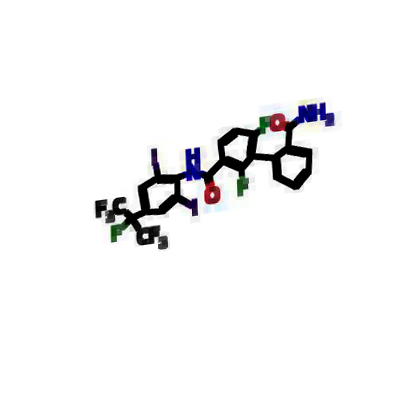 NC(=O)c1ccccc1-c1c(F)ccc(C(=O)Nc2c(I)cc(C(F)(C(F)(F)F)C(F)(F)F)cc2I)c1F